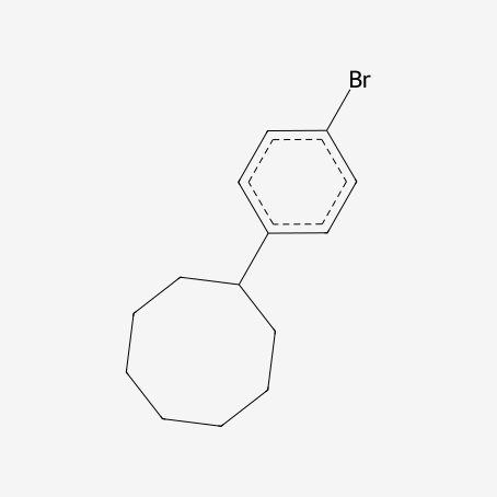 Brc1ccc(C2CCCCCCC2)cc1